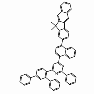 CC1(C)c2cc(-c3ccc(-c4cc(-c5ccc(-c6ccccc6)cc5-c5ccccc5)nc(-c5ccccc5)n4)c4ccccc34)ccc2-c2cc3ccccc3cc21